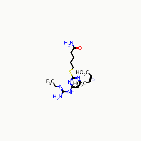 NC(=O)CCCCSc1nccc(NC(N)=NCC(F)(F)F)n1.O=C(O)/C=C\C(=O)O